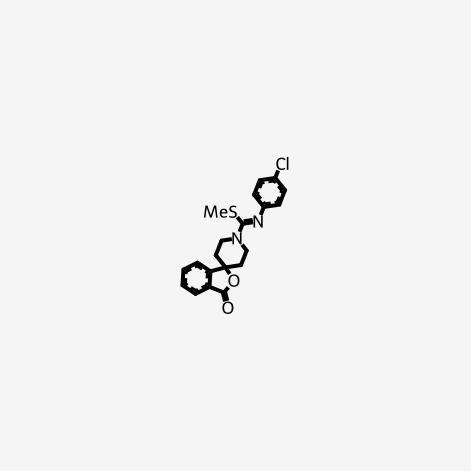 CS/C(=N\c1ccc(Cl)cc1)N1CCC2(CC1)OC(=O)c1ccccc12